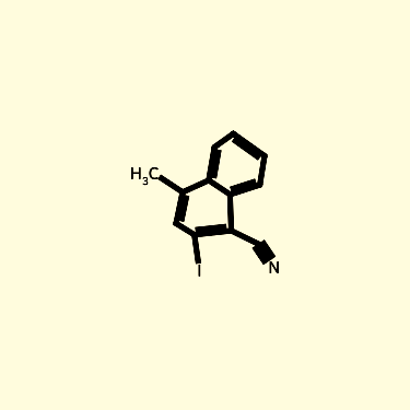 Cc1cc(I)c(C#N)c2ccccc12